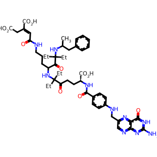 CCC(CC)(NC(CCCNC(=O)/C=C(\CC(=O)O)C(=O)O)C(=O)C(CC)(CC)NC(C)Cc1ccccc1)C(=O)CC[C@H](NC(=O)c1ccc(NCc2cnc3nc(N)[nH]c(=O)c3n2)cc1)C(=O)O